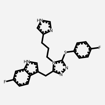 Fc1ccc(Sc2nnc(Cc3c[nH]c4cc(F)ccc34)n2CCCc2c[nH]cn2)cc1